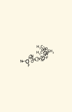 CCS(=O)(=O)c1c(C)n(-c2nc(N3CCN(C(=O)N4N=CC[C@H]4c4cc(F)cc(C#N)c4)CC3)ncc2F)n[n+]1C